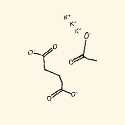 CC(=O)[O-].O=C([O-])CCC(=O)[O-].[K+].[K+].[K+]